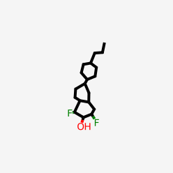 CCCC1CCC(C2CCC3C(CC(F)C(O)C3F)C2)CC1